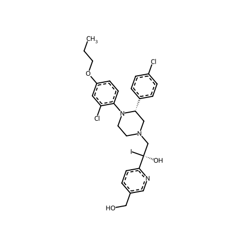 CCCOc1ccc(N2CCN(C[C@](O)(I)c3ccc(CO)cn3)C[C@H]2c2ccc(Cl)cc2)c(Cl)c1